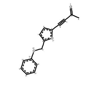 CC(=O)C#Cc1ccc(COc2ccccc2)o1